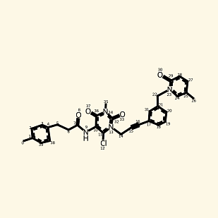 Cc1ccc(CCC(=O)Nc2c(Cl)n(CC#Cc3cccc(Cn4cc(C)ccc4=O)c3)c(=O)n(C)c2=O)cc1